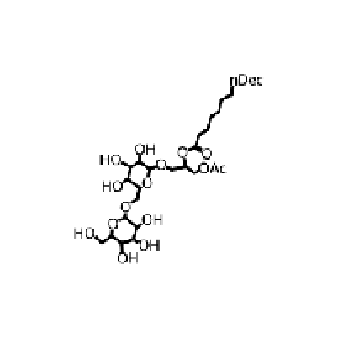 CCCCCCCCCCCCCCCCC(=O)OC(COC(C)=O)COC1OC(COC2OC(CO)C(O)C(O)C2O)C(O)C(O)C1O